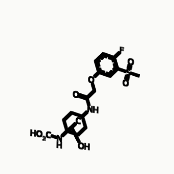 CS(=O)(=O)c1cc(OCC(=O)NC23CCC(NC(=O)O)(CC2)C(O)C3)ccc1F